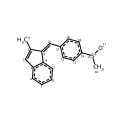 CC1=Cc2ccccc2/C1=C\c1ccc([S+](C)[O-])cc1